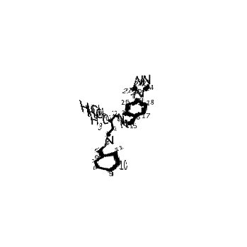 CC(CC=NCC1CCCCC1)Cn1ncc2ccc(-n3cnnc3)cc21.Cl.Cl